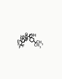 CC(C)C1CCc2c(S(=O)(=O)Nc3nc(F)c(C(F)(F)F)cc3F)c[nH]c2C1